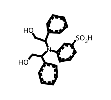 O=S(=O)(O)c1cccc(N(C(CO)c2ccccc2)C(CO)c2ccccc2)c1